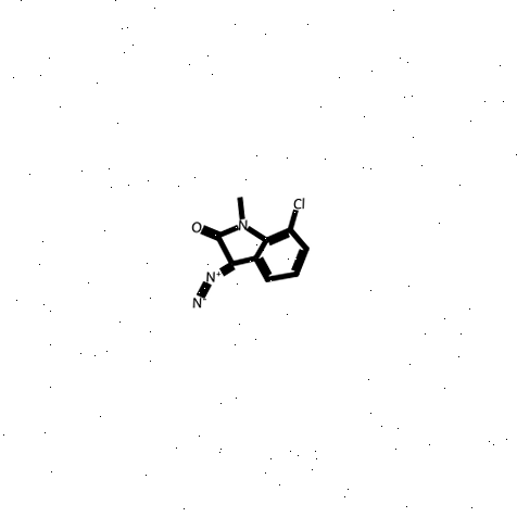 CN1C(=O)C(=[N+]=[N-])c2cccc(Cl)c21